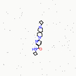 O=C(NC1CCC1)c1ccc(N2CCC3(CC2)CCN(C2CCC2)CC3)nc1